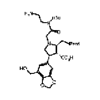 CCCCN(CCN)C(=O)CN1C[C@H](c2cc(CO)c3c(c2)OCO3)[C@@H](C(=O)O)[C@@H]1CC(C)CCC